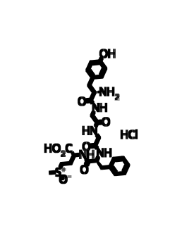 C[S+]([O-])CC[C@H](NC(=O)[C@H](Cc1ccccc1)NC(=O)CNC(=O)CNC(=O)[C@@H](N)Cc1ccc(O)cc1)C(=O)O.Cl